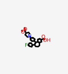 COC(OC)C1CCN(c2ccc(C3=C(c4ccc(F)cc4)CCCc4cc(C(=O)O)ccc43)cc2)CC1